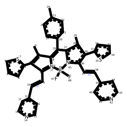 CC1=C(c2cccs2)C(/C=C/c2ccncc2)=[N+]2C1=C(c1ccc(C)cc1)c1c(C)c(-c3cccs3)c(/C=C/c3ccncc3)n1[B-]2(F)F